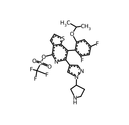 CC(C)Oc1cc(F)cc(F)c1-c1c(-c2cnn(C3CCNC3)c2)nc(OS(=O)(=O)C(F)(F)F)c2ccsc12